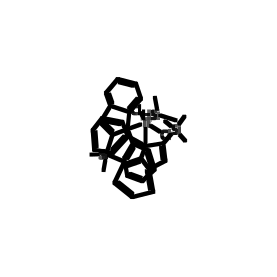 C[SiH](C)[Ti]([Cl])([Cl])([C]1(c2ccccc2)C([Si](C)(C)C)=Cc2ccccc21)[C]1(c2ccccc2)C([Si](C)(C)C)=Cc2ccccc21